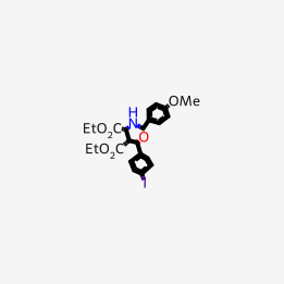 CCOC(=O)C(NCc1ccc(OC)cc1)C(C(=O)OCC)C(=O)c1ccc(I)cc1